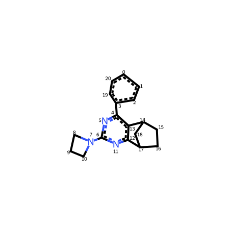 c1ccc(-c2nc(N3CCC3)nc3c2C2CCC3C2)cc1